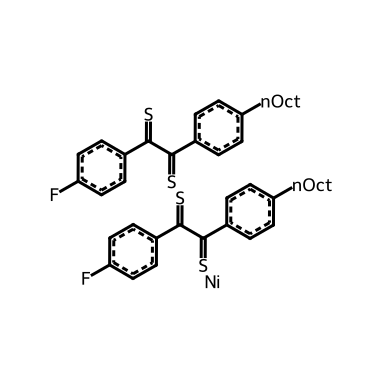 CCCCCCCCc1ccc(C(=S)C(=S)c2ccc(F)cc2)cc1.CCCCCCCCc1ccc(C(=S)C(=S)c2ccc(F)cc2)cc1.[Ni]